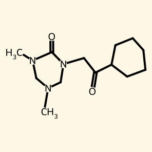 CN1CN(C)C(=O)N(CC(=O)C2CCCCC2)C1